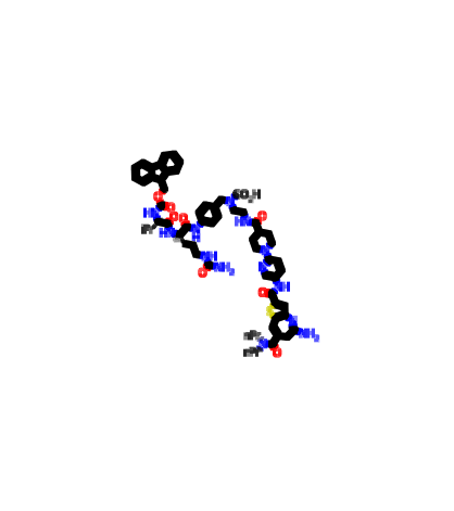 CCCN(CCC)C(=O)C1=Cc2sc(C(=O)Nc3ccc(N4CCC(C(=O)NCCN(Cc5ccc(NC(=O)[C@H](CCCNC(N)=O)NC(=O)[C@@H](NC(=O)OCC6c7ccccc7-c7ccccc76)C(C)C)cc5)C(=O)O)CC4)nc3)cc2N=C(N)C1